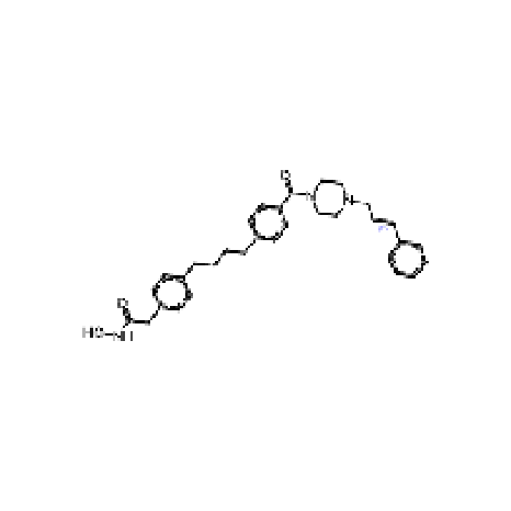 O=C(Cc1ccc(CCCCc2ccc(C(=O)N3CCN(C/C=C/c4ccccc4)CC3)cc2)cc1)NO